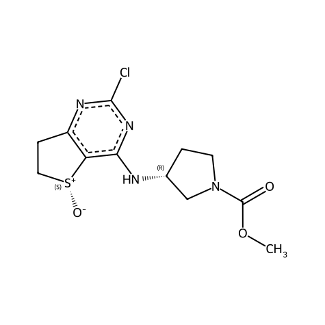 COC(=O)N1CC[C@@H](Nc2nc(Cl)nc3c2[S@+]([O-])CC3)C1